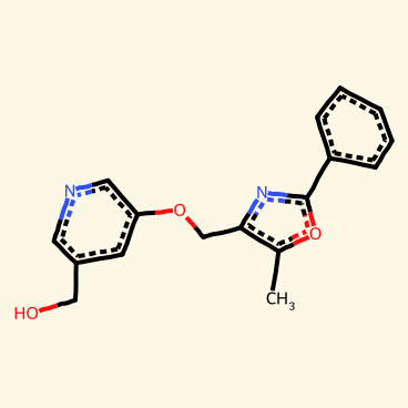 Cc1oc(-c2ccccc2)nc1COc1cncc(CO)c1